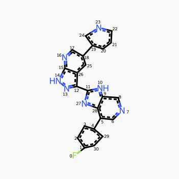 Fc1ccc(-c2cncc3[nH]c(-c4n[nH]c5ncc(-c6cccnc6)cc45)nc23)cc1